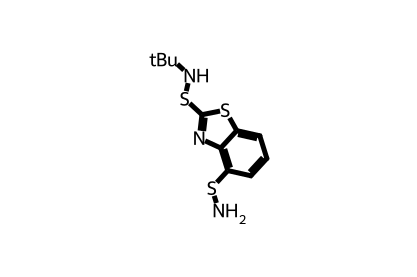 CC(C)(C)NSc1nc2c(SN)cccc2s1